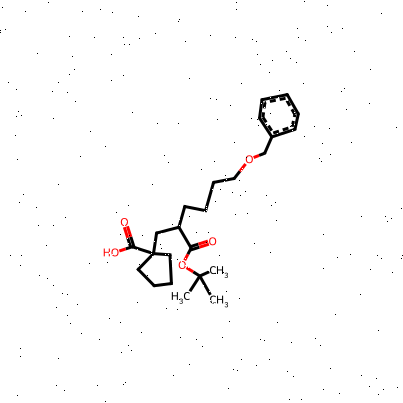 CC(C)(C)OC(=O)C(CCCCOCc1ccccc1)CC1(C(=O)O)CCCC1